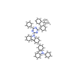 CC1(C)c2ccccc2-c2c(-c3nc(-c4ccccc4)nc(-n4c5ccccc5c5cc(-c6ccc7c(c6)c6ccccc6n7-c6ccccc6)ccc54)n3)cccc21